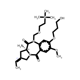 C/C=C1\CN2C(=O)c3cc(OC)c(OCCCO)cc3N(COCC[Si](C)(C)C)C(=O)[C@]2(N)C1